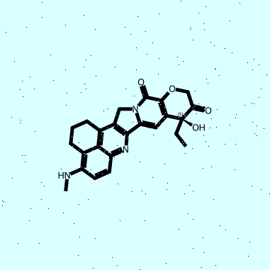 CC[C@@]1(O)C(=O)COc2c1cc1n(c2=O)Cc2c-1nc1ccc(NC)c3c1c2CCC3